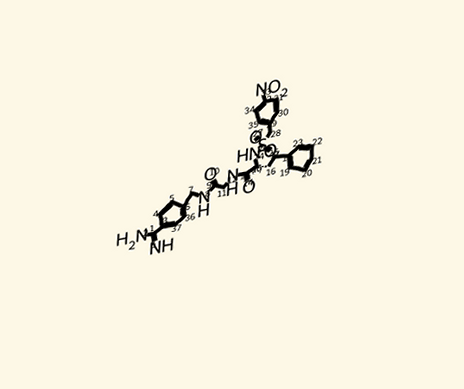 N=C(N)c1ccc(CNC(=O)CNC(=O)[C@@H](CCc2ccccc2)NS(=O)(=O)Cc2ccc([N+](=O)[O-])cc2)cc1